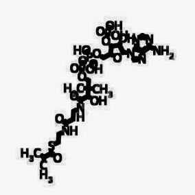 CC(C)C(=O)SCCNC(=O)CCNC(=O)C(O)C(C)(C)COP(=O)(O)OP(=O)(O)OCC1OC(n2cnc3c(N)ncnc32)C(O)C1OP(=O)(O)O